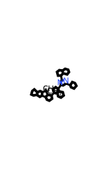 CC1(C)c2cc3ccccc3cc2-c2cccc(-c3ccc(-c4cc(-c5ccccc5)nc(-c5cccc6ccccc56)n4)c4ccccc34)c21